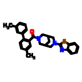 Cc1cccc(-c2ccc(C)cc2C(=O)N2CC3CC(C2)CN(c2nc4ccccc4s2)C3)c1